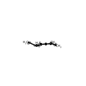 C=CC(=O)OCCCCCCOc1ccc(C(=O)Sc2ccc(C#Cc3ccc(C#Cc4ccc(OCCOC(=O)C=C)c(C)c4)cc3)cc2C)cc1